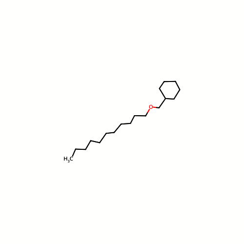 CCCCCCCCCCCOCC1CCCCC1